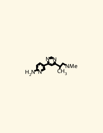 CNCC(C)c1cc(-c2ccc(N)nc2)ncn1